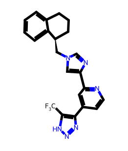 FC(F)(F)c1[nH]nnc1-c1ccnc(-c2cn(C[C@@H]3CCCc4ccccc43)cn2)c1